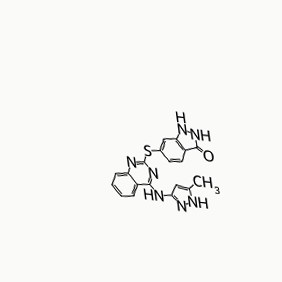 Cc1cc(Nc2nc(Sc3ccc4c(=O)[nH][nH]c4c3)nc3ccccc23)n[nH]1